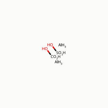 O=C(O)O.O=S(=O)(O)O.[AlH3].[AlH3]